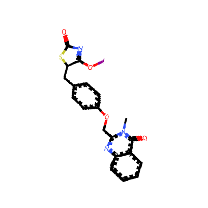 Cn1c(COc2ccc(CC3SC(=O)N=C3OI)cc2)nc2ccccc2c1=O